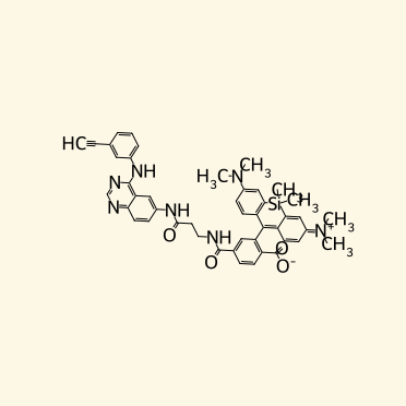 C#Cc1cccc(Nc2ncnc3ccc(NC(=O)CCNC(=O)c4ccc(C(=O)[O-])c(C5=C6C=CC(=[N+](C)C)C=C6[Si](C)(C)c6cc(N(C)C)ccc65)c4)cc23)c1